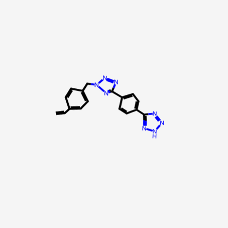 C=Cc1ccc(Cn2nnc(-c3ccc(-c4nn[nH]n4)cc3)n2)cc1